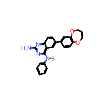 Nc1nc(N(Br)c2ccccc2)c2cc(-c3ccc4c(c3)OCCCO4)ccc2n1